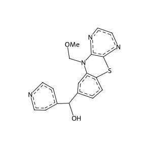 COCN1c2cc(C(O)c3ccncc3)ccc2Sc2nccnc21